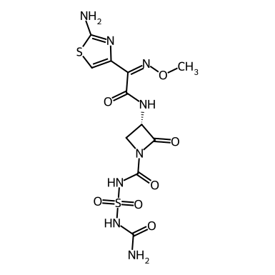 CON=C(C(=O)N[C@H]1CN(C(=O)NS(=O)(=O)NC(N)=O)C1=O)c1csc(N)n1